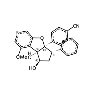 COc1cncc2c1[C@]1(O)[C@H](O)C[C@@H](c3ccccc3)[C@]1(c1ccc(C#N)cc1)O2